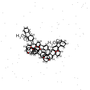 CC1(C)c2ccccc2-c2ccc(N(c3ccc4c(c3)C3(c5cc(N(c6ccc7c(c6)C(C)(C)c6ccccc6-7)c6ccccc6-c6ccccc6)ccc5-4)c4cc5c(cc4-c4cc6c(cc43)C3CC4CC(CC6C4)C3)C3CC4CC(C3)CC5C4)c3ccccc3-c3ccccc3)cc21